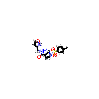 Cc1ccc(S(=O)(=O)n2ccc(C(=O)NCc3ccon3)c2)cc1